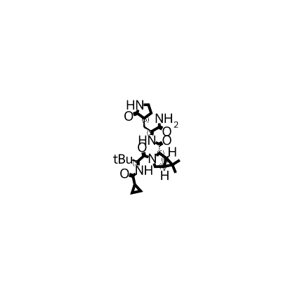 CC(C)(C)[C@H](NC(=O)C1CC1)C(=O)N1C[C@H]2[C@@H]([C@H]1C(=O)N[C@@H](C[C@@H]1CCNC1=O)C(N)=O)C2(C)C